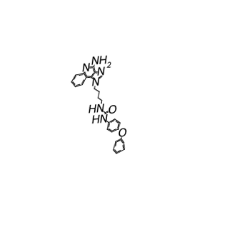 Nc1nc2ccccc2c2c1ncn2CCCCNC(=O)Nc1ccc(Oc2ccccc2)cc1